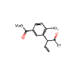 C=CC(C(=O)CC)c1cc(C(=O)OC)ccc1[N+](=O)[O-]